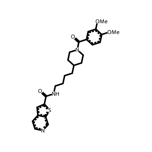 COc1ccc(C(=O)N2CCC(CCCCNC(=O)c3cc4ccncc4s3)CC2)cc1OC